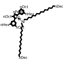 CCCCCCCCC1=C(c2cc(CCCCCC)cc(CCCCCCCC)c2)[N+](=[N-])C(c2cc(CCCCCC)cc(CCCCCCCC)c2)=C1CCCCC.CCCCCCCCCCCCCCCCCCCCCCCC[CH2][Ni][CH2]CCCCCCCCCCCCCCCCCCCCCCCC